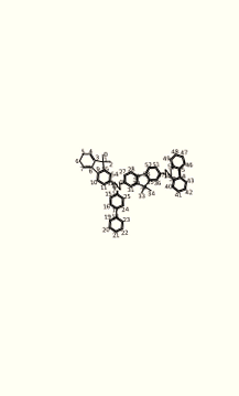 CC1(C)C2=CCCC=C2c2ccc(N(c3ccc(-c4ccccc4)cc3)c3ccc4c(c3)C(C)(C)c3cc(-n5c6ccccc6c6ccccc65)ccc3-4)cc21